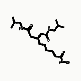 CC(C)CNC(=O)CN(CCCCCC(=O)NO)CC(=O)NCC(C)C